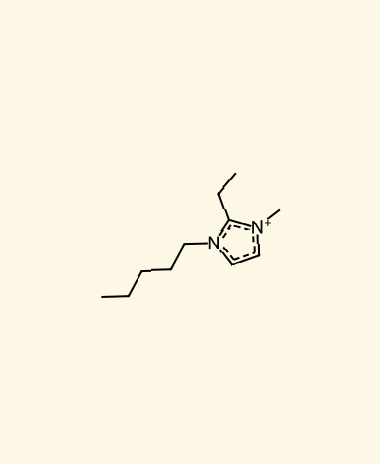 CCCCCn1cc[n+](C)c1CC